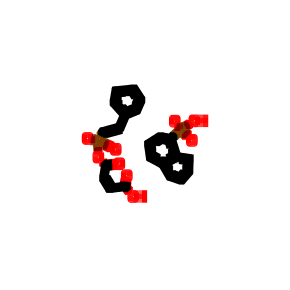 O=C(O)/C=C\C(=O)OS(=O)(=O)C=Cc1ccccc1.O=S(=O)(O)c1cccc2ccccc12